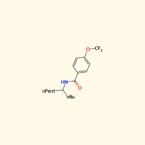 CCCCCC(CCCC)NC(=O)c1ccc(OC(F)(F)F)cc1